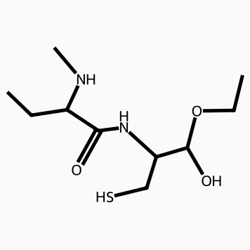 CCOC(O)C(CS)NC(=O)C(CC)NC